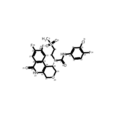 CS(=O)(=O)CCN(C(=O)Nc1ccc(F)c(Cl)c1)[C@@H]1COCc2[nH]c(=O)c3cc(F)c(F)cc3c21